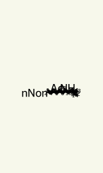 CC(N)=O.CCCCCCCCCCCCCCCCCCN(C)C